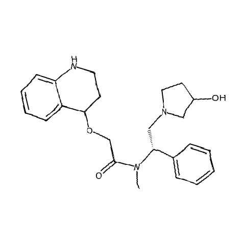 CN(C(=O)COC1CCNc2ccccc21)[C@H](CN1CCC(O)C1)c1ccccc1